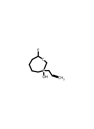 C=CC[P]1(O)CCCCC(F)CC1